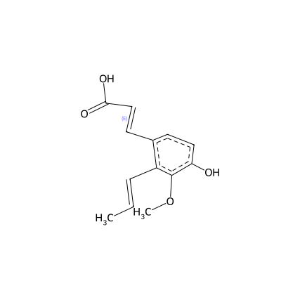 CC=Cc1c(/C=C/C(=O)O)ccc(O)c1OC